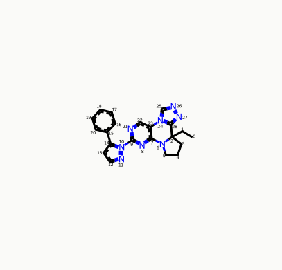 CCC12CCCN1c1nc(-n3nccc3-c3ccccc3)ncc1-n1cnnc12